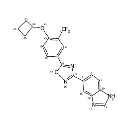 FC(F)(F)c1cc(-c2nc(-c3ccc4[nH]cnc4c3)no2)ccc1OC1CCC1